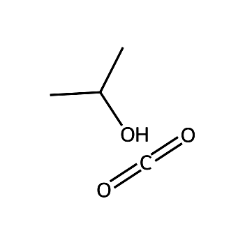 CC(C)O.O=C=O